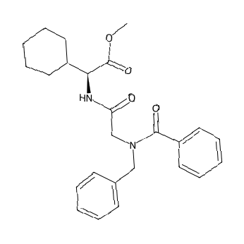 COC(=O)[C@@H](NC(=O)CN(Cc1ccccc1)C(=O)c1ccccc1)C1CCCCC1